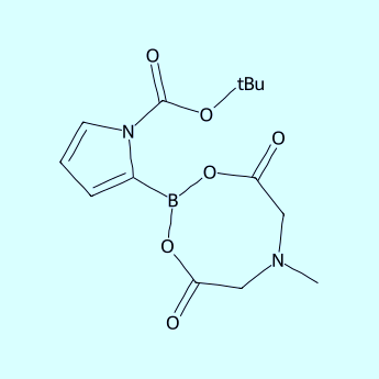 CN1CC(=O)OB(c2cccn2C(=O)OC(C)(C)C)OC(=O)C1